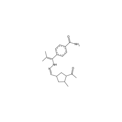 CC(=O)C1CC(/C=N\NC(=C(C)C)c2ccc(C(N)=O)cc2)CC1C